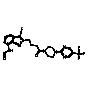 O=CNc1cccc2c(F)n(CCCC(=O)N3CCN(c4ncc(C(F)(F)F)cn4)CC3)nc12